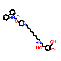 O=C(Nc1ccccc1-c1ccccc1)OC1CCN(CCCCCCCCCNC[C@H](O)c2ccc(O)c(CO)c2)CC1